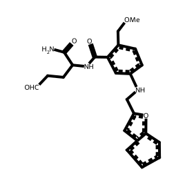 COCc1ccc(NCc2cc3ccccc3o2)cc1C(=O)NC(CCC=O)C(N)=O